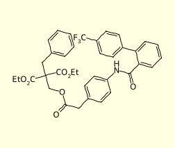 CCOC(=O)C(COC(=O)Cc1ccc(NC(=O)c2ccccc2-c2ccc(C(F)(F)F)cc2)cc1)(Cc1ccccc1)C(=O)OCC